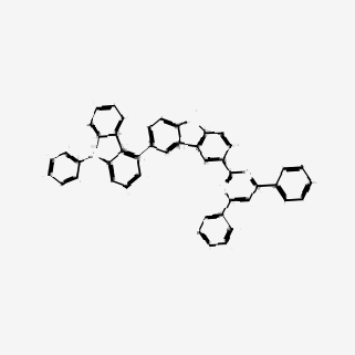 c1ccc(-c2cc(-c3ccccc3)nc(-c3ccc4oc5ccc(-c6cccc7c6c6ccccc6n7-c6ccccc6)cc5c4c3)n2)cc1